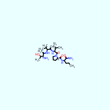 C=C(NC(C(=O)N1CCC[C@@H]1C(=O)NC(CCC)C(N)=O)C(C)C)C(NC(=C)[C@H](N)C(C)O)C(C)C